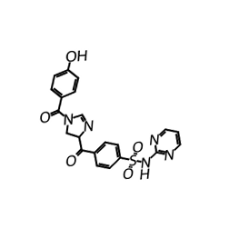 O=C(c1ccc(S(=O)(=O)Nc2ncccn2)cc1)C1CN(C(=O)c2ccc(O)cc2)C=N1